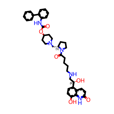 O=C(Nc1ccccc1-c1ccccc1)OC1CCN(C[C@@H]2CCCN2C(=O)CCCCNC[C@H](O)c2ccc(O)c3[nH]c(=O)ccc23)CC1